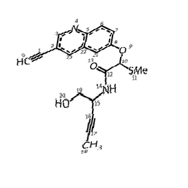 C#Cc1cnc2ccc(OC(SC)C(=O)NC(C#CC)CO)cc2c1